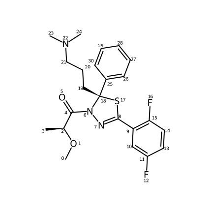 CO[C@@H](C)C(=O)N1N=C(c2cc(F)ccc2F)S[C@@]1(CCCN(C)C)c1ccccc1